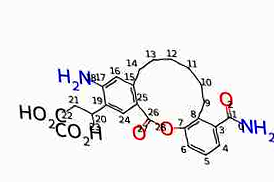 NC(=O)c1cccc2c1CCCCCCc1cc(N)c(C(CC(=O)O)C(=O)O)cc1C(=O)O2